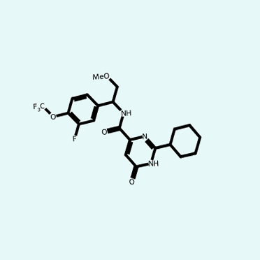 COCC(NC(=O)c1cc(=O)[nH]c(C2CCCCC2)n1)c1ccc(OC(F)(F)F)c(F)c1